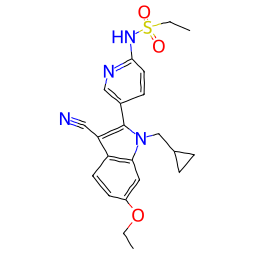 CCOc1ccc2c(C#N)c(-c3ccc(NS(=O)(=O)CC)nc3)n(CC3CC3)c2c1